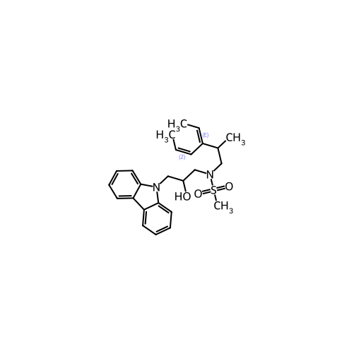 C/C=C\C(=C/C)C(C)CN(CC(O)Cn1c2ccccc2c2ccccc21)S(C)(=O)=O